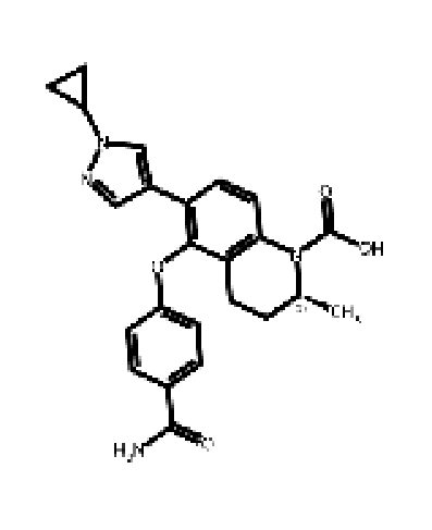 C[C@H]1CCc2c(ccc(-c3cnn(C4CC4)c3)c2Oc2ccc(C(N)=O)cc2)N1C(=O)O